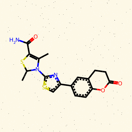 CC1=C(C(N)=O)SC(C)N1c1nc(-c2ccc3c(c2)CCC(=O)O3)cs1